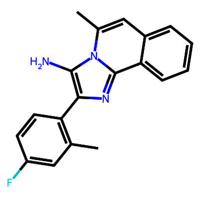 Cc1cc(F)ccc1-c1nc2c3ccccc3cc(C)n2c1N